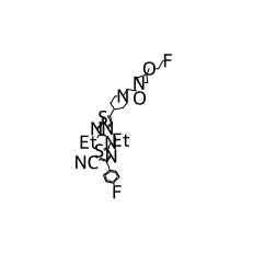 CCc1nc2sc(C3CCN(CC(=O)N4CC(OCCF)C4)CC3)cn2c1N(CC)c1nc(-c2ccc(F)cc2)c(C#N)s1